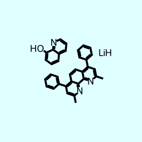 Cc1cc(-c2ccccc2)c2ccc3c(-c4ccccc4)cc(C)nc3c2n1.Oc1cccc2cccnc12.[LiH]